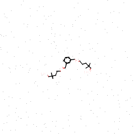 CC(C)(CO)CCCOCc1cccc(COCCCC(C)(C)CO)c1